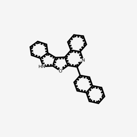 c1ccc2cc(-c3nc4ccccc4c4c3oc3[nH]c5ccccc5c34)ccc2c1